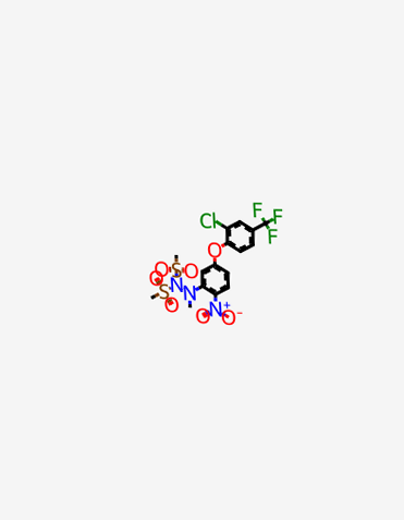 CN(c1cc(Oc2ccc(C(F)(F)F)cc2Cl)ccc1[N+](=O)[O-])N(S(C)(=O)=O)S(C)(=O)=O